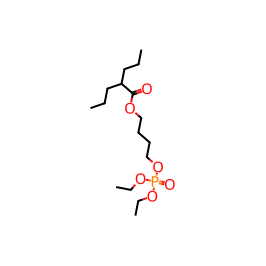 CCCC(CCC)C(=O)OCCCCOP(=O)(OCC)OCC